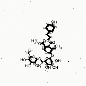 C/C=C1/C(O[C@@H]2O[C@H](CO[C@@H]3O[C@H](CO)[C@@H](O)[C@H](O)[C@H]3O)[C@@H](O)[C@H](O)[C@H]2O)OC=C(C(=O)OC)[C@H]1C(=O)OCCc1ccc(O)cc1